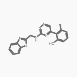 Cc1cccc(O)c1-c1cnnc(NCc2nc3ccccc3s2)n1